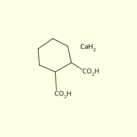 O=C(O)C1CCCCC1C(=O)O.[CaH2]